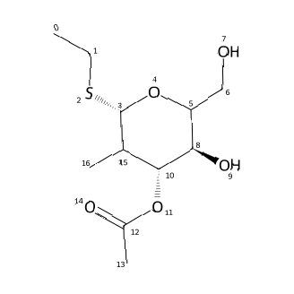 CCS[C@@H]1OC(CO)[C@@H](O)[C@H](OC(C)=O)C1C